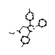 CCOC(=O)Cc1c(-c2ccc(Cl)cc2)nn(-c2ccccc2)c1-c1ccc(Cl)cc1